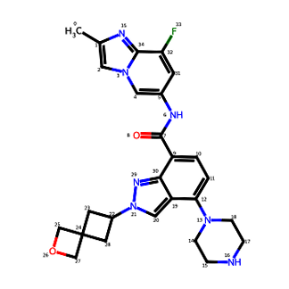 Cc1cn2cc(NC(=O)c3ccc(N4CCNCC4)c4cn(C5CC6(COC6)C5)nc34)cc(F)c2n1